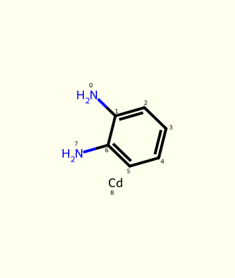 Nc1ccccc1N.[Cd]